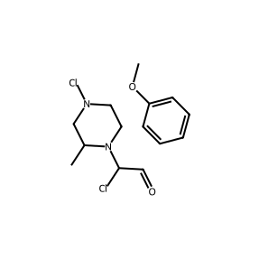 CC1CN(Cl)CCN1C(Cl)C=O.COc1ccccc1